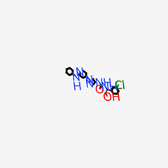 O=C(Nc1cnn(-c2ccnc(Nc3ccccc3)c2)c1)N[C@H](CO)c1cccc(Cl)c1